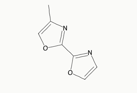 Cc1coc(-c2ncco2)n1